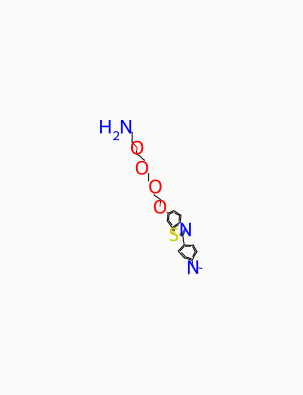 CN(C)c1ccc(-c2nc3ccc(OCCOCCOCCOCCN)cc3s2)cc1